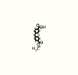 CCOC(=O)c1ccc(Cc2ccc(C(=O)O)cc2)cc1